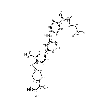 C[C@H](O)C(=O)N1CCC(Oc2ccc(-c3ccnc(Nc4ccc(C(=O)N(C)CCN(C)C)cc4)n3)cc2N)CC1